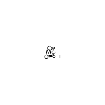 O=S.[Ca].[Mg].[Ti]